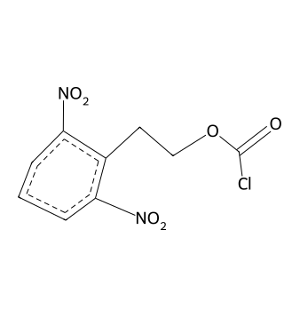 O=C(Cl)OCCc1c([N+](=O)[O-])cccc1[N+](=O)[O-]